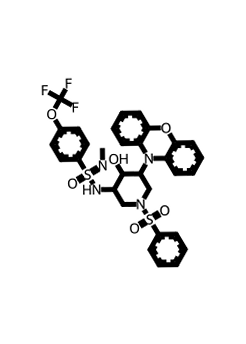 CN=S(=O)(NC1CN(S(=O)(=O)c2ccccc2)CC(N2c3ccccc3Oc3ccccc32)C1O)c1ccc(OC(F)(F)F)cc1